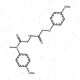 COc1ccc(OCC(=O)NCC(=O)N(C)c2ccc(OC)cc2)cc1